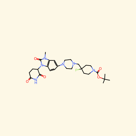 Cn1c(=O)n(C2CCC(=O)NC2=O)c2ccc(N3CCN(CC4(F)CCN(C(=O)OC(C)(C)C)CC4)CC3)cc21